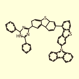 C1=CC2C3=CC(C4=NC(c5ccccc5)NC(c5ccccc5)=N4)CC=C3SC2C=C1c1cccc2sc3cc(-n4c5ccccc5c5ccccc54)ccc3c12